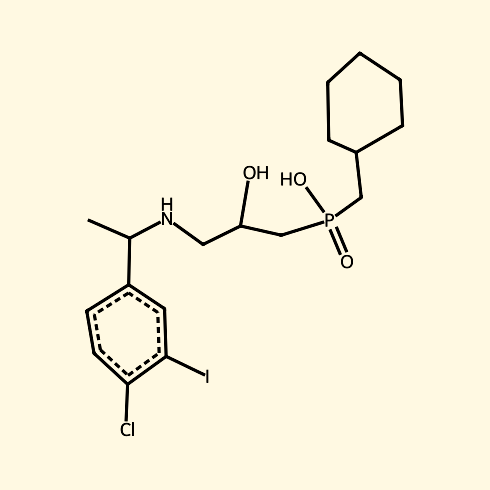 CC(NCC(O)CP(=O)(O)CC1CCCCC1)c1ccc(Cl)c(I)c1